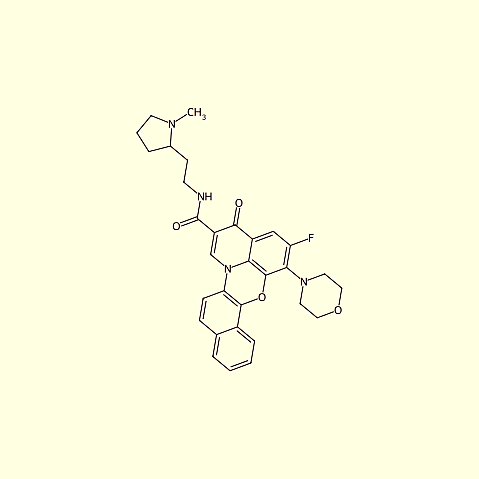 CN1CCCC1CCNC(=O)c1cn2c3c(c(N4CCOCC4)c(F)cc3c1=O)Oc1c-2ccc2ccccc12